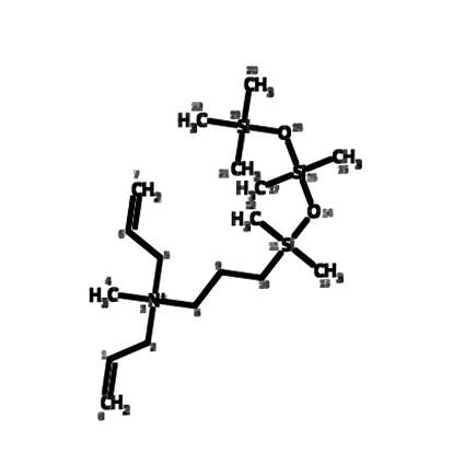 C=CC[N+](C)(CC=C)CCC[Si](C)(C)O[Si](C)(C)O[Si](C)(C)C